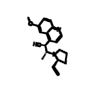 C=C[C@@H]1CCCN1[C@H](C)C(O)c1ccnc2ccc(OC)cc12